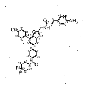 Nc1ccc(/C=C/C(=O)NCc2cc3cc(-c4ccc(C(=O)N5CCC(F)(F)CC5)cc4)cc(-c4ccc(Cl)cc4)c3o2)cn1